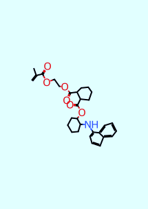 C=C(C)C(=O)OCCOC(=O)C1CCCCC1C(=O)OC1CCCCC1Nc1cccc2ccccc12